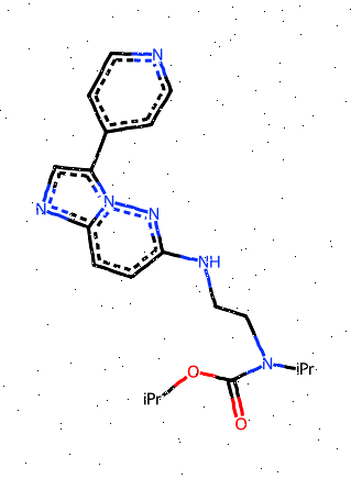 CC(C)OC(=O)N(CCNc1ccc2ncc(-c3ccncc3)n2n1)C(C)C